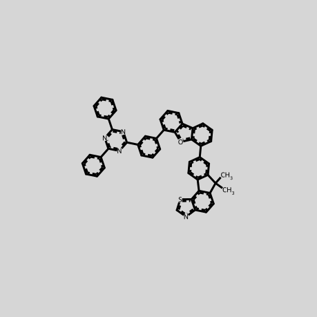 CC1(C)c2cc(-c3cccc4c3oc3c(-c5cccc(-c6nc(-c7ccccc7)nc(-c7ccccc7)n6)c5)cccc34)ccc2-c2c1ccc1ncsc21